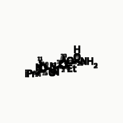 CCc1cc(-c2noc(-c3cc(C)nc(CC(C)C)c3)n2)cc(C)c1OCC(O)CN